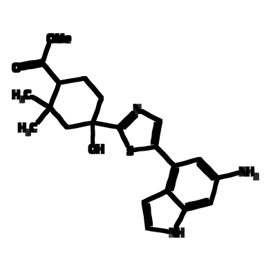 COC(=O)C1CCC(O)(c2ncc(-c3cc(N)cc4[nH]ccc34)s2)CC1(C)C